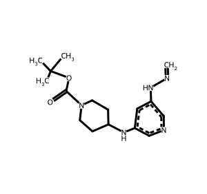 C=NNc1cncc(NC2CCN(C(=O)OC(C)(C)C)CC2)c1